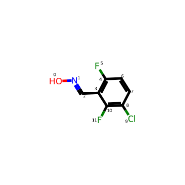 O/N=C/c1c(F)ccc(Cl)c1F